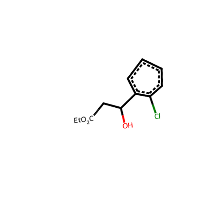 CCOC(=O)CC(O)c1ccccc1Cl